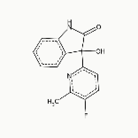 Cc1nc(C2(O)C(=O)Nc3ccccc32)ccc1F